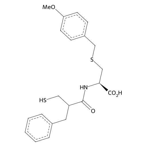 COc1ccc(CSC[C@H](NC(=O)C(CS)Cc2ccccc2)C(=O)O)cc1